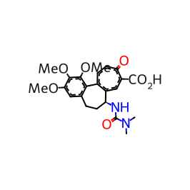 COc1cc2c(c(OC)c1OC)-c1ccc(=O)c(C(=O)O)cc1[C@@H](NC(=O)N(C)C)CC2